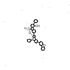 CC1(C)c2cc(C3=CC4C(=C3)c3cc(-c5ccc6oc7ccccc7c6c5)ccc3N4c3ccccc3)ccc2-c2c1ccc(-c1ccccc1)c2O